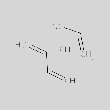 C.C=CC#N.C=CC=C